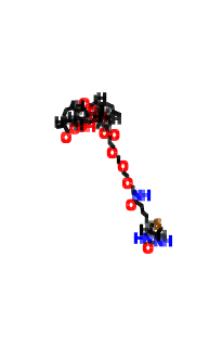 C=C1C(=O)O[C@@H]2[C@@H]3[C@@H](C[C@H](OC(=O)CCOCCOCCOCCNC(=O)CCCC[C@@H]4SC[C@@H]5NC(=O)N[C@@H]54)[C@]3(C)CC[C@]3(O)[C@@H]4[C@H]5OC(=O)C(=C)[C@@H]5CCC(=C)[C@@H]4C[C@H]3O)C(=C)CC[C@@H]12